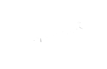 CC(C)(C)OC(=O)CCCCCCCCCCC(C)(C)C(=O)O